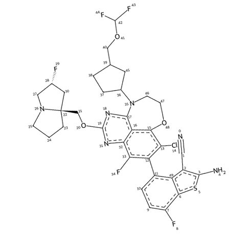 N#Cc1c(N)sc2c(F)ccc(-c3c(Cl)c4c5c(nc(OC[C@@]67CCCN6C[C@H](F)C7)nc5c3F)N(C3CCC(COC(F)F)C3)CCO4)c12